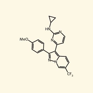 COc1ccc(-c2nn3cc(C(F)(F)F)ccc3c2-c2ccnc(NC3CC3)n2)cc1